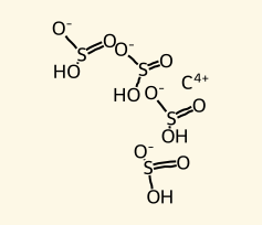 O=S([O-])O.O=S([O-])O.O=S([O-])O.O=S([O-])O.[C+4]